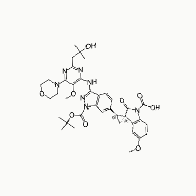 COc1ccc2c(c1)[C@]1(C[C@H]1c1ccc3c(Nc4nc(CC(C)(C)O)nc(N5CCOCC5)c4OC)nn(C(=O)OC(C)(C)C)c3c1)C(=O)N2C(=O)O